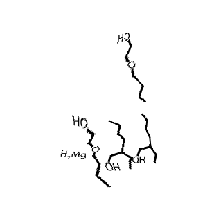 CCCCC(CC)CO.CCCCC(CC)CO.CCCCOCCO.CCCCOCCO.[MgH2]